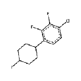 Fc1c(Cl)ccc(C2CCC(I)CC2)c1F